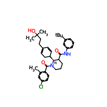 Cc1cc(Cl)ccc1C(=O)N1CCCC(C(=O)Nc2cccc(C(C)(C)C)c2)[C@@H]1C1C=CC(CCC(C)(C)O)=CC1